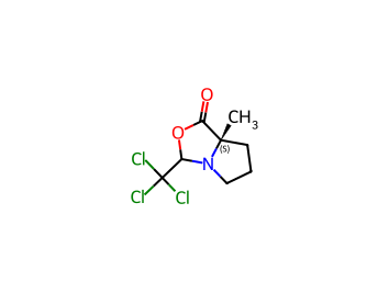 C[C@@]12CCCN1C(C(Cl)(Cl)Cl)OC2=O